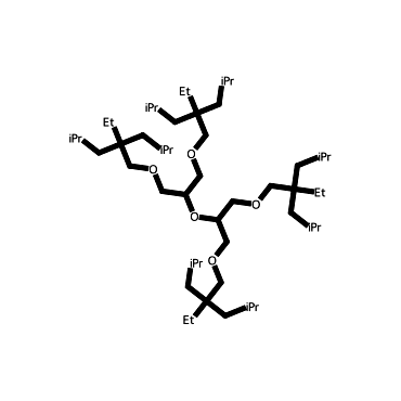 CCC(COCC(COCC(CC)(CC(C)C)CC(C)C)OC(COCC(CC)(CC(C)C)CC(C)C)COCC(CC)(CC(C)C)CC(C)C)(CC(C)C)CC(C)C